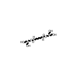 O=C(NCCCCCCNC(=O)OCCN(CCO)CCO)OCCN(CCO)CCO